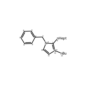 CCCCCCCc1n(Cc2ccccc2)cc[n+]1CCCC